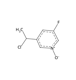 CC(Cl)c1cc(F)c[n+]([O-])c1